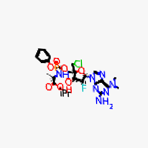 CC(C)OC(=O)[C@H](C)N[P@@](=O)(OC[C@@]1(CCl)O[C@@H](n2cnc3c(N(C)C)nc(N)nc32)[C@H](F)[C@@H]1O)Oc1ccccc1